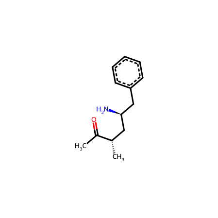 CC(=O)[C@@H](C)C[C@@H](N)Cc1ccccc1